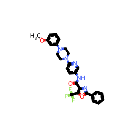 COc1cccc(N2CCN(c3ccc(NC(=O)c4nc(-c5ccccc5)oc4C(F)(F)F)cn3)CC2)c1